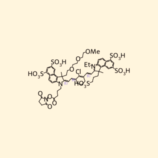 CC[N+]1=C(/C=C/C2=C(Cl)C(=C/C=C3/N(CCCC(=O)ON4C(=O)CCC4=O)c4ccc5c(S(=O)(=O)O)cc(S(=O)(=O)O)cc5c4C3(C)CCOCCOCCOC)/CCC2)C(C)(CCCS(=O)(=O)O)c2c1ccc1c(S(=O)(=O)O)cc(S(=O)(=O)O)cc21